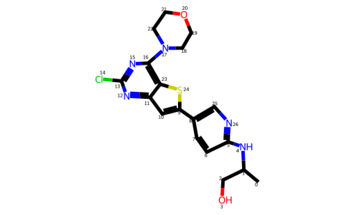 CC(CO)Nc1ccc(-c2cc3nc(Cl)nc(N4CCOCC4)c3s2)cn1